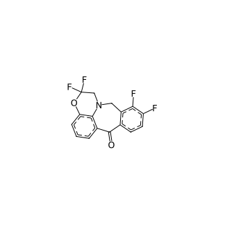 O=C1c2ccc(F)c(F)c2CN2CC(F)(F)Oc3cccc1c32